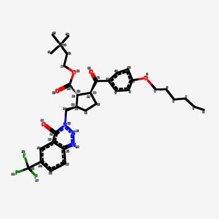 CCCCCCOc1ccc(C(=O)[C@H]2CC[C@@H](Cn3nnc4ccc(C(F)(F)F)cc4c3=O)[C@@H]2C(=O)OCC[Si](C)(C)C)cc1